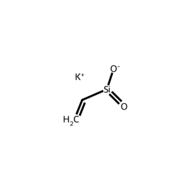 C=C[Si](=O)[O-].[K+]